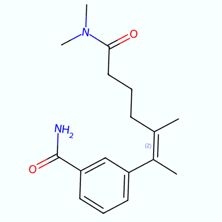 C/C(CCCC(=O)N(C)C)=C(\C)c1cccc(C(N)=O)c1